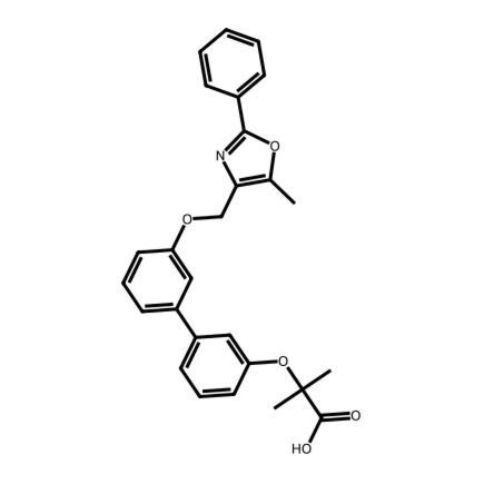 Cc1oc(-c2ccccc2)nc1COc1cccc(-c2cccc(OC(C)(C)C(=O)O)c2)c1